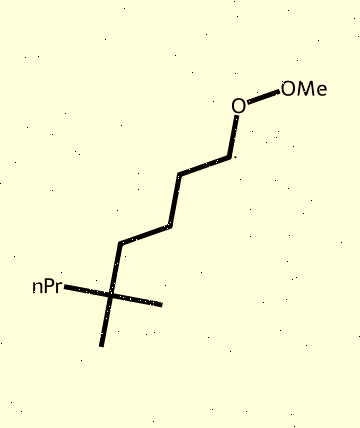 CCCC(C)(C)CCC[CH]OOC